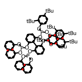 CC(C)(C)c1ccc(OP(Oc2ccc(C(C)(C)C)cc2C(C)(C)C)Oc2cccc(OP(Oc3ccccc3)Oc3ccccc3)c2-c2c(OP(Oc3ccccc3)Oc3ccccc3)cccc2OP(Oc2ccc(C(C)(C)C)cc2C(C)(C)C)Oc2ccc(C(C)(C)C)cc2C(C)(C)C)c(C(C)(C)C)c1